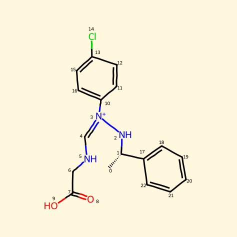 C[C@H](N[N+](=CNCC(=O)O)c1ccc(Cl)cc1)c1ccccc1